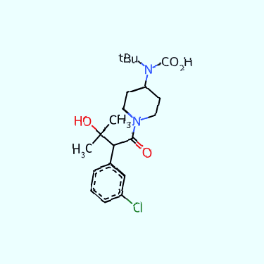 CC(C)(O)C(C(=O)N1CCC(N(C(=O)O)C(C)(C)C)CC1)c1cccc(Cl)c1